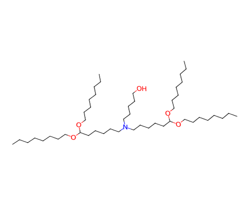 CCCCCCCCOC(CCCCCN(CCCCCO)CCCCCC(OCCCCCCCC)OCCCCCCCC)OCCCCCCCC